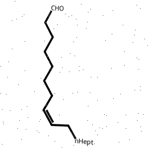 CCCCCCCC/C=C\CCCCCCC=O